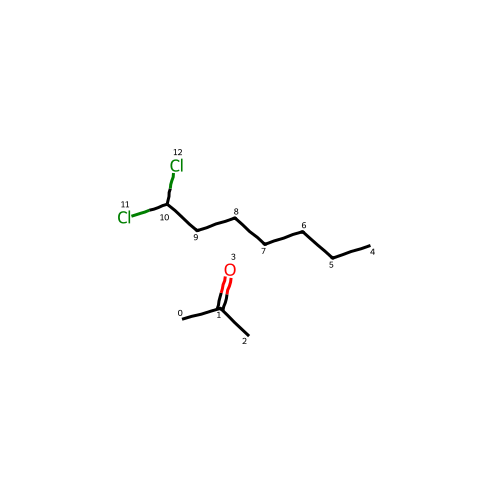 CC(C)=O.CCCCCCC(Cl)Cl